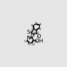 O=c1c2ccccc2[se]n1-c1ncccc1O